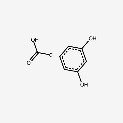 O=C(O)Cl.Oc1cccc(O)c1